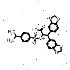 CC(C)c1ccc(S(=O)(=O)NC(C(=O)O)C(c2ccc3c(c2)OCO3)c2ccc3c(c2)OCO3)cc1